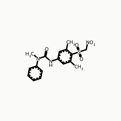 Cc1cc(NC(=O)N(C)c2ccccc2)cc(C)c1S(=O)(=O)C[N+](=O)[O-]